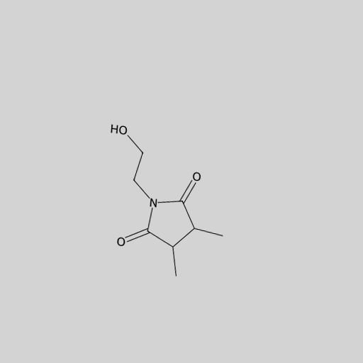 CC1C(=O)N(CCO)C(=O)C1C